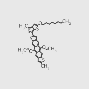 CCCCCCCCOc1cc2c(C)sc(-c3cc4cc5c(OCC)c6cc7sc(C)cc7cc6c(OCC)c5cc4s3)c2s1